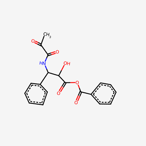 CC(=O)C(=O)NC(c1ccccc1)C(O)C(=O)OC(=O)c1ccccc1